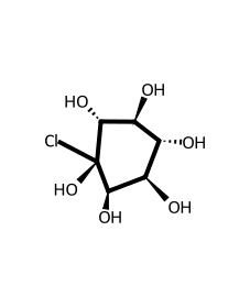 O[C@@H]1[C@@H](O)[C@@H](O)[C@](O)(Cl)[C@H](O)[C@H]1O